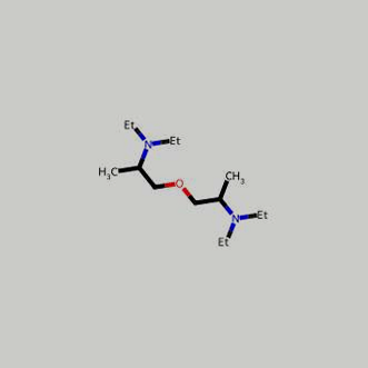 CCN(CC)C(C)COCC(C)N(CC)CC